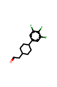 O=CCC1CCC(c2cc(F)c(F)c(F)c2)CC1